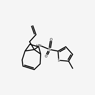 C=CCC1(NS(=O)(=O)c2ccc(C)s2)C2CC=CCC1CC2